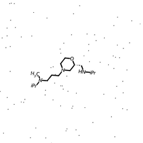 CC(C)NC[C@@H]1CN(CCCN(C)C(C)C)CCO1